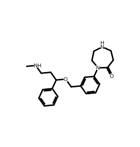 CNCCC(OCc1cccc(N2CCNCCC2=O)c1)c1ccccc1